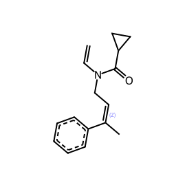 C=CN(C/C=C(/C)c1ccccc1)C(=O)C1CC1